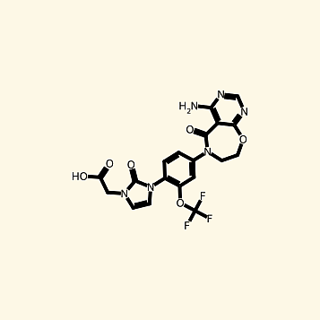 Nc1ncnc2c1C(=O)N(c1ccc(-n3ccn(CC(=O)O)c3=O)c(OC(F)(F)F)c1)CCO2